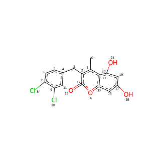 Cc1c(Cc2ccc(Cl)c(Cl)c2)c(=O)oc2cc(O)cc(O)c12